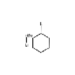 [Li][CH2]CCC.[Li][CH]1CCCCC1